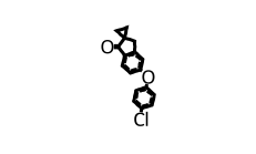 O=C1c2ccc(Oc3ccc(Cl)cc3)cc2CC12CC2